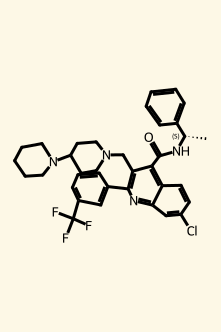 C[C@H](NC(=O)c1c(CN2CCC(N3CCCCC3)CC2)c(-c2cccc(C(F)(F)F)c2)nc2cc(Cl)ccc12)c1ccccc1